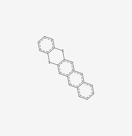 [c]1c2c(cc3cc4ccccc4cc13)Sc1ccccc1S2